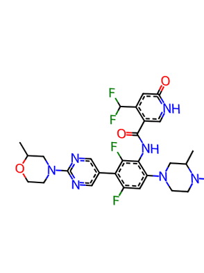 CC1CN(c2ncc(-c3c(F)cc(N4CCN(C)C(C)C4)c(NC(=O)c4c[nH]c(=O)cc4C(F)F)c3F)cn2)CCO1